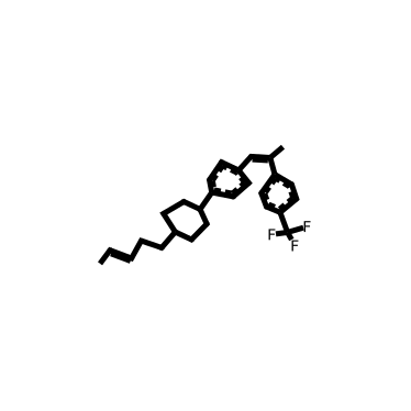 CC=CCCC1CCC(c2ccc(C=C(C)c3ccc(C(F)(F)F)cc3)cc2)CC1